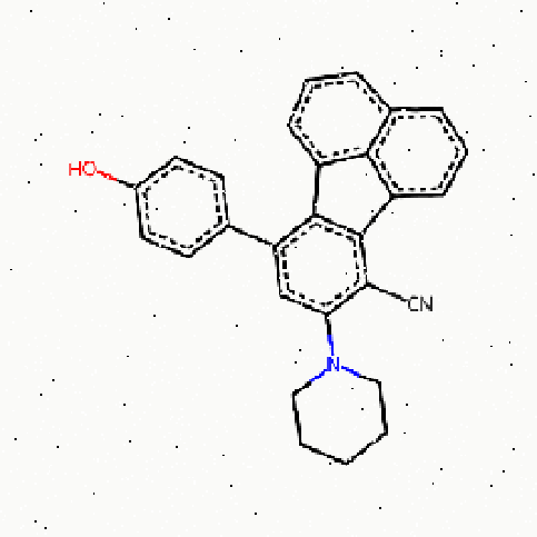 N#Cc1c(N2CCCCC2)cc(-c2ccc(O)cc2)c2c1-c1cccc3cccc-2c13